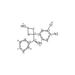 OC1CC(c2ccc(Cl)c(Cl)c2)([C@@H](O)c2ccccn2)C1